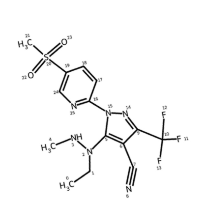 CCN(NC)c1c(C#N)c(C(F)(F)F)nn1-c1ccc(S(C)(=O)=O)cn1